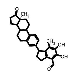 Cc1c(O)c(O)c(C=O)c2c1C(c1ccc3c(c1)CCC1C3CC[C@]3(C)C(=O)CCC13)CC2